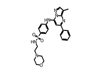 Cc1cnn2c(Nc3ccc(S(=O)(=O)NCCN4CCOCC4)cc3)cc(-c3ccccc3)nc12